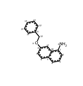 Nc1cccc2ccc(OCc3ccccc3)cc12